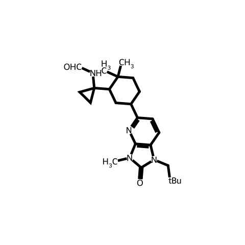 Cn1c(=O)n(CC(C)(C)C)c2ccc(C3CCC(C)(C)C(C4(NC=O)CC4)C3)nc21